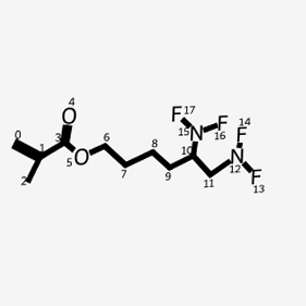 C=C(C)C(=O)OCCCCC(CN(F)F)N(F)F